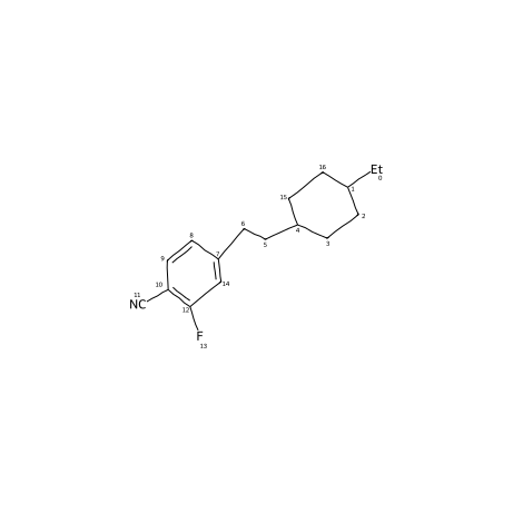 CCC1CCC(CCc2ccc(C#N)c(F)c2)CC1